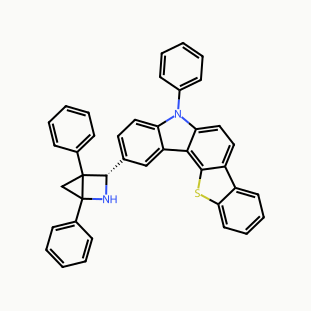 c1ccc(-n2c3ccc([C@@H]4NC5(c6ccccc6)CC45c4ccccc4)cc3c3c4sc5ccccc5c4ccc32)cc1